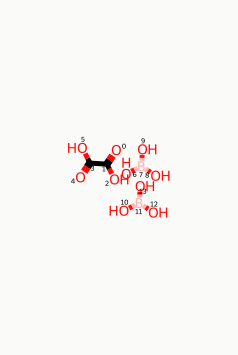 O=C(O)C(=O)O.OB(O)O.OB(O)O